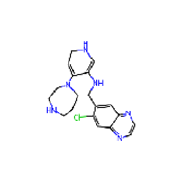 Clc1cc2nccnc2cc1CNC1=CNCC=C1N1CCCNCC1